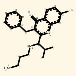 CC(C)C(NCCC[AsH2])c1oc2cc(F)ccc2c(=O)c1Cc1ccccc1